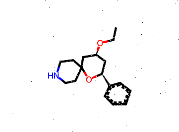 CCO[C@H]1C[C@@H](c2ccccc2)OC2(CCNCC2)C1